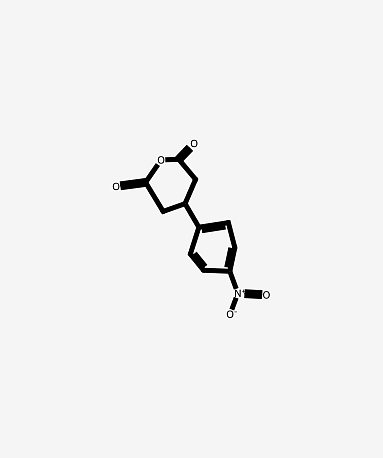 O=C1CC(c2ccc([N+](=O)[O-])cc2)CC(=O)O1